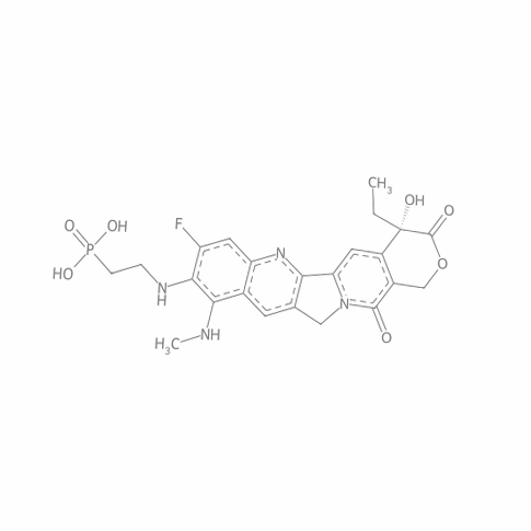 CC[C@@]1(O)C(=O)OCc2c1cc1n(c2=O)Cc2cc3c(NC)c(NCCP(=O)(O)O)c(F)cc3nc2-1